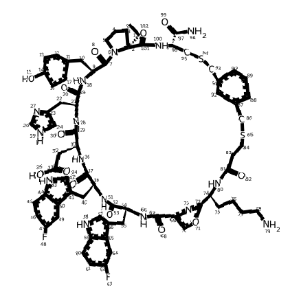 CC[C@@]12CCCN1C(=O)[C@H](Cc1ccc(O)cc1)NC(=O)[C@H](Cc1c[nH]cn1)NC(=O)[C@H](CC(=O)O)NC(=O)[C@H](Cc1c[nH]c3ccc(F)cc13)NC(=O)[C@H](Cc1c[nH]c3ccc(F)cc13)NC(=O)c1coc(n1)[C@H](CCCCN)NC(=O)CCSCc1cccc(c1)CSC[C@@H](C(N)=O)NC2=O